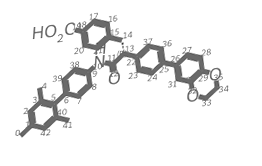 Cc1cc(C)c(-c2ccc(NC(=O)[C@H](Cc3ccc(C(=O)O)cc3)c3ccc(-c4ccc5c(c4)OCCO5)cc3)cc2)c(C)c1